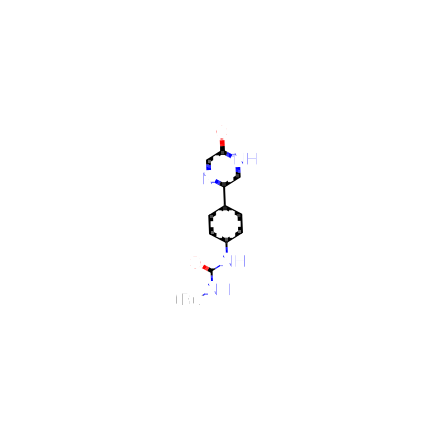 CC(C)(C)NC(=O)Nc1ccc(-c2c[nH]c(=O)cn2)cc1